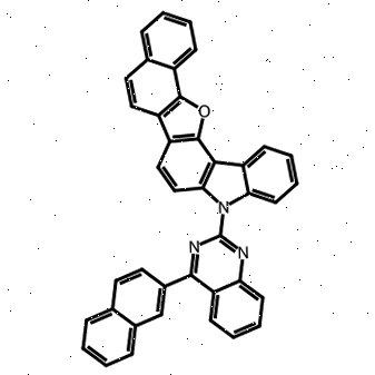 c1ccc2cc(-c3nc(-n4c5ccccc5c5c6oc7c8ccccc8ccc7c6ccc54)nc4ccccc34)ccc2c1